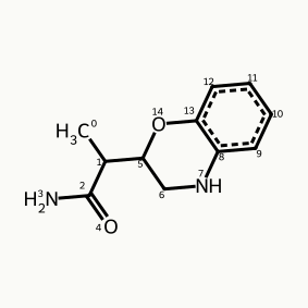 CC(C(N)=O)C1CNc2ccccc2O1